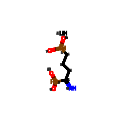 N=C(CCC[SH](=O)=O)[SH](=O)=O.[LiH]